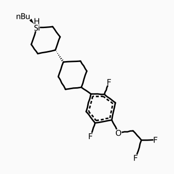 CCCC[Si@H]1CC[C@H](C2CCC(c3cc(F)c(OCC(F)F)cc3F)CC2)CC1